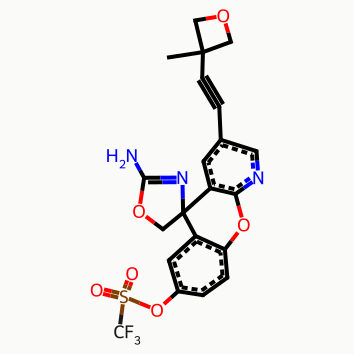 CC1(C#Cc2cnc3c(c2)C2(COC(N)=N2)c2cc(OS(=O)(=O)C(F)(F)F)ccc2O3)COC1